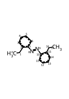 CCc1ccccc1N=Nc1ccccc1CC